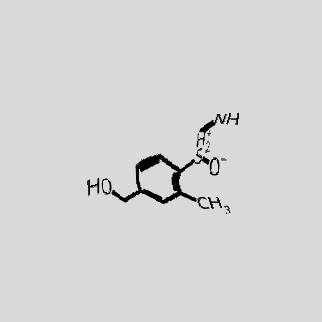 Cc1cc(CO)ccc1[SH2+]([O-])C=N